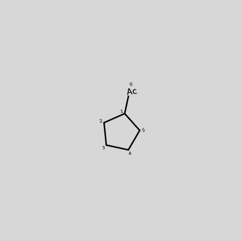 CC(=O)C1CCCC1